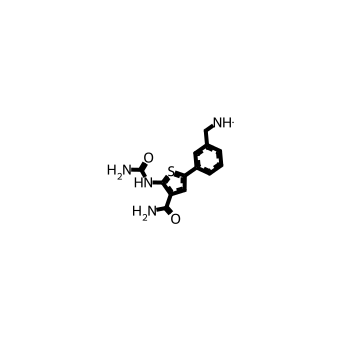 [NH]Cc1cccc(-c2cc(C(N)=O)c(NC(N)=O)s2)c1